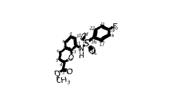 COC(=O)C1CCc2cccc(NS(=O)(=O)c3ccc(F)cc3)c2O1